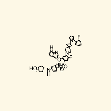 C[C@]1(O)CC[C@H](CNc2ccc([S+]([O-])NC(=O)c3cc(F)c(N4CCC5(CC4)CC(N4CCCC4c4ccccc4F)C5)cc3Oc3cnc4[nH]ccc4c3)cc2)CC1